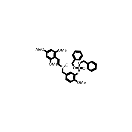 COc1cc(OC)c(/C=C/[S+]([O-])Cc2ccc(OC)c(OP(=O)(OCc3ccccc3)OCc3ccccc3)c2)c(OC)c1